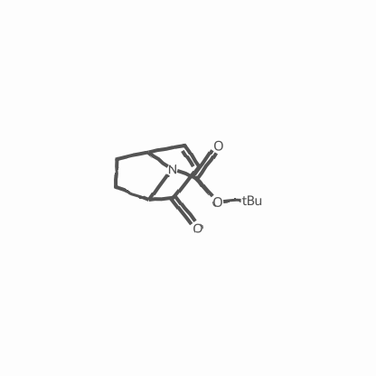 CC(C)(C)OC(=O)N1C2C=CC(=O)C1CC2